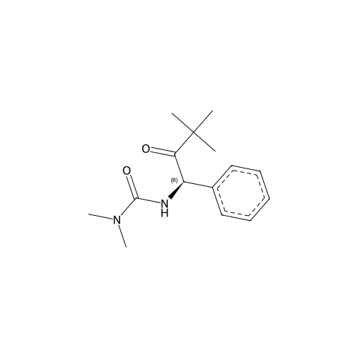 CN(C)C(=O)N[C@@H](C(=O)C(C)(C)C)c1ccccc1